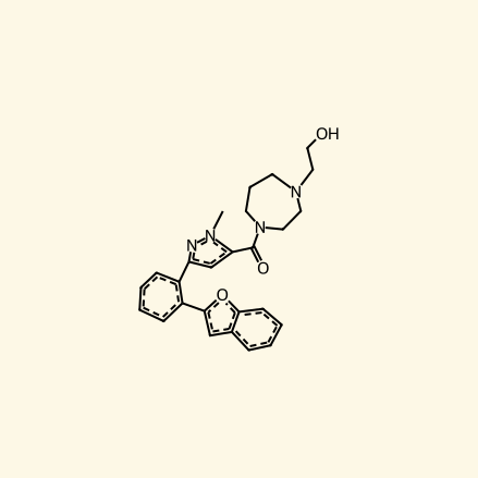 Cn1nc(-c2ccccc2-c2cc3ccccc3o2)cc1C(=O)N1CCCN(CCO)CC1